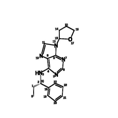 CC[C@H](Nc1ncnc2c1ncn2C1CCCO1)c1ccccc1